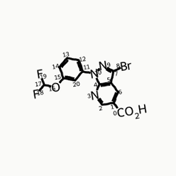 O=C(O)c1cnc2c(c1)c(Br)nn2-c1cccc(OC(F)F)c1